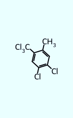 Cc1cc(Cl)c(Cl)cc1C(Cl)(Cl)Cl